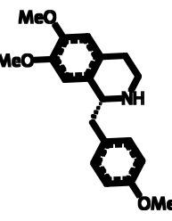 COc1ccc(C[C@H]2NCCc3cc(OC)c(OC)cc32)cc1